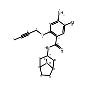 CC#CCOc1cc(N)c(Cl)cc1C(=O)NC1CC2CCC(C1)N2C